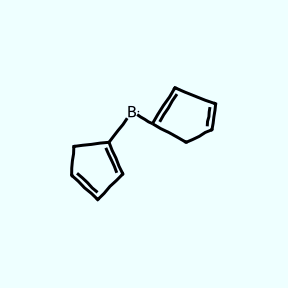 [B](C1=CC=CC1)C1=CC=CC1